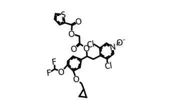 O=C(COC(=O)c1cccs1)OC(Cc1c(Cl)c[n+]([O-])cc1Cl)c1ccc(OC(F)F)c(OCC2CC2)c1